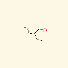 CC=CC(CC)C[O]